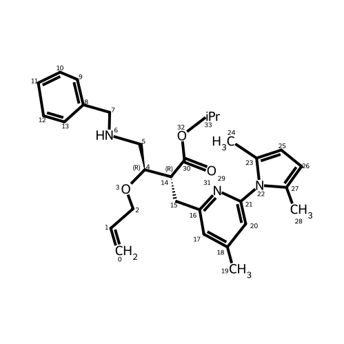 C=CCO[C@@H](CNCc1ccccc1)[C@@H](Cc1cc(C)cc(-n2c(C)ccc2C)n1)C(=O)OC(C)C